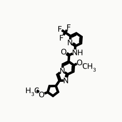 COc1cc2nc(C3CCC(OC)C3)cn2cc1C(=O)Nc1cccc(C(F)(F)F)n1